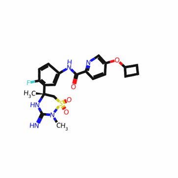 CN1C(=N)N[C@](C)(c2cc(NC(=O)c3ccc(OC4CCC4)cn3)ccc2F)CS1(=O)=O